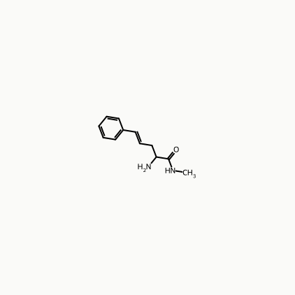 CNC(=O)C(N)CC=Cc1ccccc1